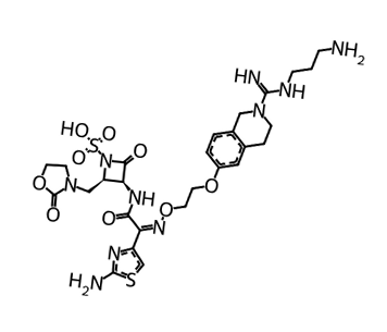 N=C(NCCCN)N1CCc2cc(OCCO/N=C(\C(=O)N[C@@H]3C(=O)N(S(=O)(=O)O)[C@@H]3CN3CCOC3=O)c3csc(N)n3)ccc2C1